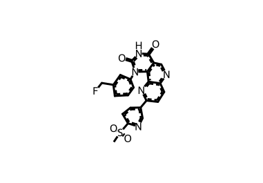 CS(=O)(=O)c1ccc(-c2ccc3ncc4c(=O)[nH]c(=O)n(-c5cccc(CF)c5)c4c3n2)cn1